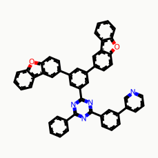 c1ccc(-c2nc(-c3cccc(-c4cccnc4)c3)nc(-c3cc(-c4ccc5oc6ccccc6c5c4)cc(-c4ccc5oc6ccccc6c5c4)c3)n2)cc1